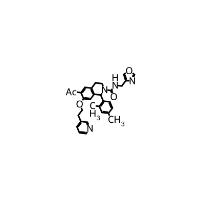 CC(=O)c1cc2c(cc1OCCc1cccnc1)C(c1ccc(C)cc1C)N(C(=O)NCc1cocn1)CC2